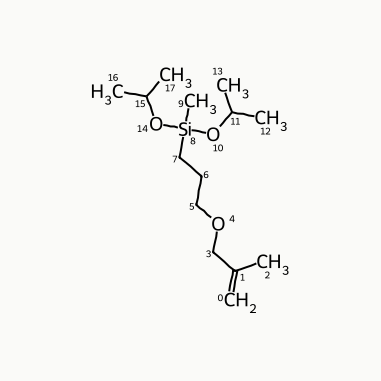 C=C(C)COCCC[Si](C)(OC(C)C)OC(C)C